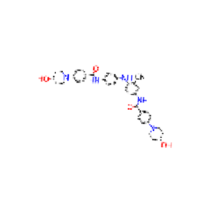 N#Cc1cc(NC(=O)c2ccc(N3CCC(O)CC3)cc2)ccc1Nc1ccc(NC(=O)c2ccc(N3CCC(O)CC3)cc2)cc1